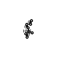 c1ccc(C2=NC(c3ccc4c(c3)oc3cccc(-c5cccc6c5oc5ccccc56)c34)NC(c3cccc4c3oc3ccccc34)=N2)cc1